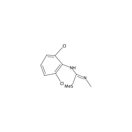 C/N=C(/Nc1c(Cl)cccc1Cl)SC